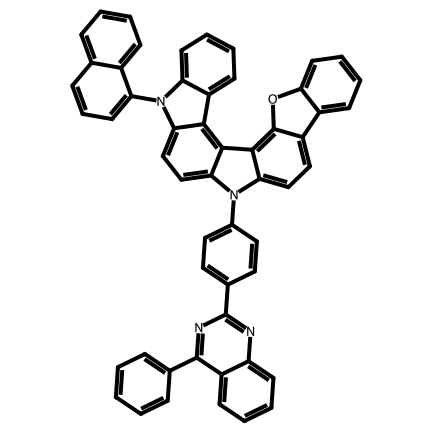 c1ccc(-c2nc(-c3ccc(-n4c5ccc6c7ccccc7oc6c5c5c6c7ccccc7n(-c7cccc8ccccc78)c6ccc54)cc3)nc3ccccc23)cc1